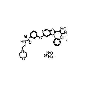 Nc1nonc1-c1nc2cnc(Oc3cccc(S(=O)(=O)NCCN4CCOCC4)c3)cc2n1-c1ccccc1.O=N[O-].[Na+]